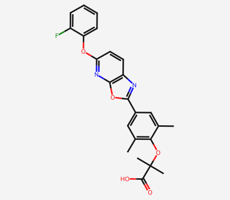 Cc1cc(-c2nc3ccc(Oc4ccccc4F)nc3o2)cc(C)c1OC(C)(C)C(=O)O